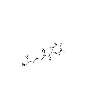 O=C(CCCC(Br)Br)Nc1ccccc1